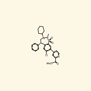 COC(=O)c1cc(-c2cc3c(cc2Cl)N(c2ccccc2)C[C@@H](C2CCCCC2)N(C)S3(=O)=O)ccn1